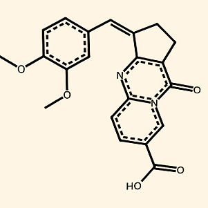 COc1ccc(/C=C2/CCc3c2nc2ccc(C(=O)O)cn2c3=O)cc1OC